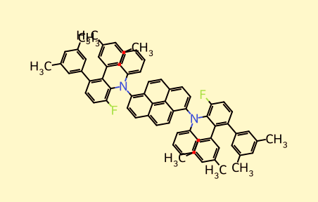 Cc1cc(C)cc(-c2ccc(F)c(N(c3ccccc3)c3ccc4ccc5c(N(c6ccccc6)c6c(F)ccc(-c7cc(C)cc(C)c7)c6-c6cc(C)cc(C)c6)ccc6ccc3c4c65)c2-c2cc(C)cc(C)c2)c1